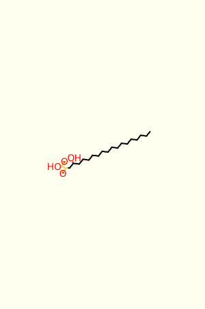 CCCCCCCCCCCCCCCCC(O)CS(=O)(=O)O